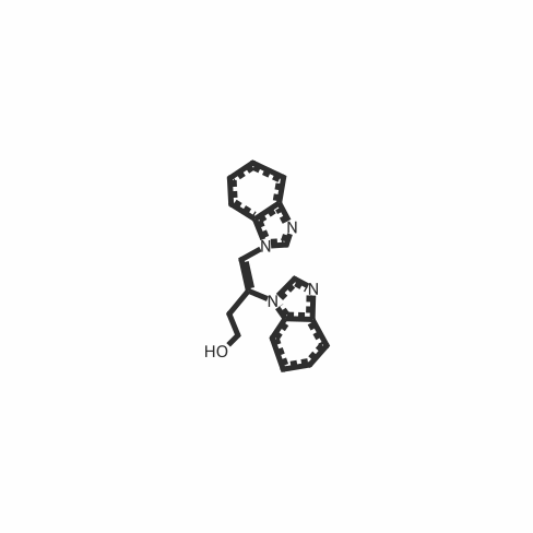 OCCC(=Cn1cnc2ccccc21)n1cnc2ccccc21